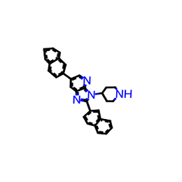 c1ccc2cc(-c3cnc4c(c3)nc(-c3ccc5ccccc5c3)n4C3CCNCC3)ccc2c1